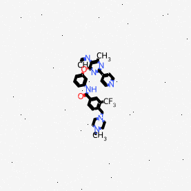 C/C=N\c1c(C)nc(-c2ccncc2)nc1Oc1cccc(NC(=O)c2ccc(CN3CCN(C)CC3)c(C(F)(F)F)c2)c1